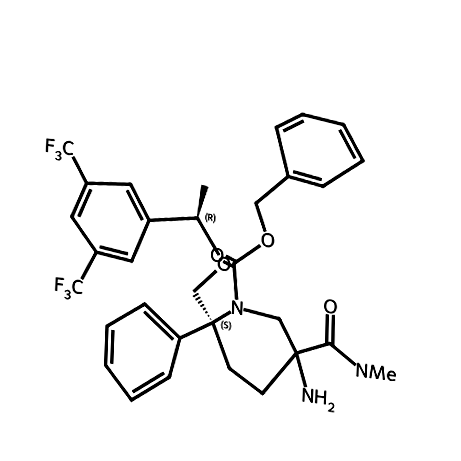 CNC(=O)C1(N)CC[C@@](CO[C@H](C)c2cc(C(F)(F)F)cc(C(F)(F)F)c2)(c2ccccc2)N(C(=O)OCc2ccccc2)C1